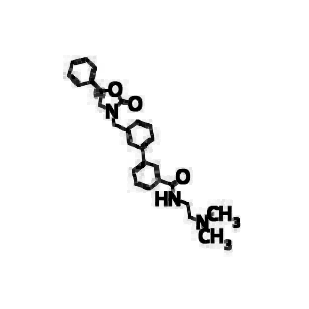 CN(C)CCNC(=O)c1cccc(-c2cccc(CN3C[C@@H](c4ccccc4)OC3=O)c2)c1